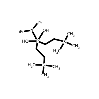 CC(C)N(C(C)C)P(O)(O)(CC[Si](C)(C)C)CC[Si](C)(C)C